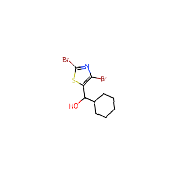 OC(c1sc(Br)nc1Br)C1CCCCC1